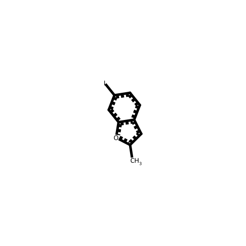 Cc1cc2ccc(I)cc2o1